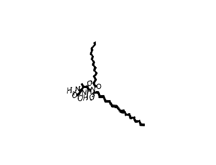 CCCCCCCCC=CCCCCCCCC(=O)N(CC(=O)C(C)C(N)(N)C(=O)O)C(=O)CCCCCCCCCCCCCCC